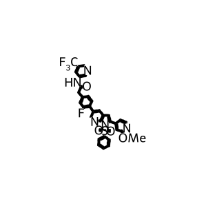 COc1cc(-c2cc3cc(-c4ccc(CC(=O)Nc5cncc(C(F)(F)F)c5)cc4F)cnc3n2S(=O)(=O)c2ccccc2)ccn1